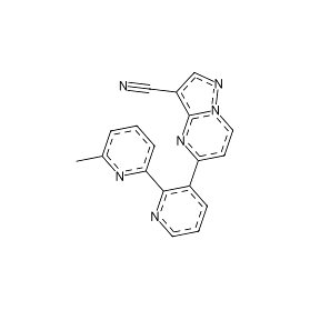 Cc1cccc(-c2ncccc2-c2ccn3ncc(C#N)c3n2)n1